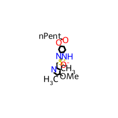 CCCCCC(=O)Oc1ccc2[nH]c([S+]([O-])Cc3ncc(C)c(OC)c3C)nc2c1